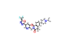 CC(C)N1CCC(c2ccc3c(c2)C(C)(C)C(=O)N(Cc2ccc(-c4nnc(C(F)F)o4)cn2)C3=O)CC1